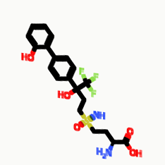 N=S(=O)(CC[C@H](N)C(=O)O)CCC(O)(c1ccc(-c2ccccc2O)cc1)C(F)(F)F